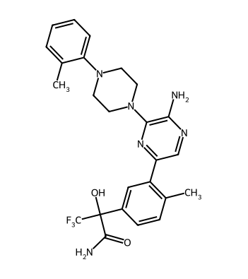 Cc1ccc(C(O)(C(N)=O)C(F)(F)F)cc1-c1cnc(N)c(N2CCN(c3ccccc3C)CC2)n1